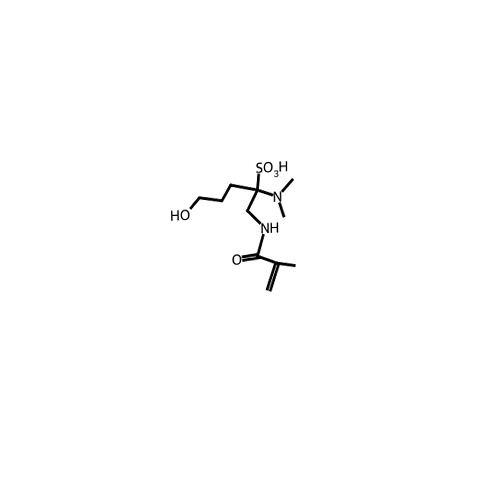 C=C(C)C(=O)NCC(CCCO)(N(C)C)S(=O)(=O)O